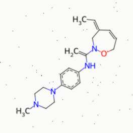 C=C(Nc1ccc(N2CCN(C)CC2)cc1)N1C/C(=C\C)C=CCO1